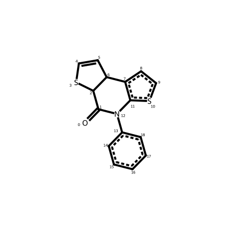 O=C1C2SC=CC2c2ccsc2N1c1ccccc1